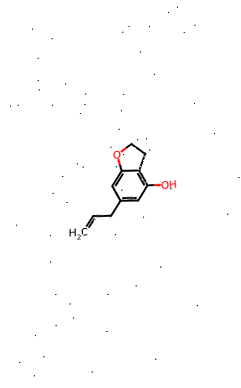 C=CCc1cc(O)c2c(c1)OCC2